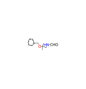 CC(C)(CNC=O)OCc1ccccc1